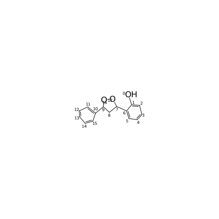 Oc1ccccc1C1CC(c2ccccc2)OO1